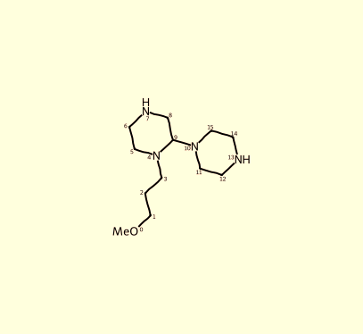 COCCCN1CCNCC1N1CCNCC1